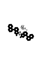 CC1=Cc2c(-c3cccc4ccccc34)cccc2[CH]1[Zr+2]([CH3])([CH3])[CH]1C(C)=Cc2c(-c3cccc4ccccc34)cccc21.[Cl-].[Cl-].[SiH4]